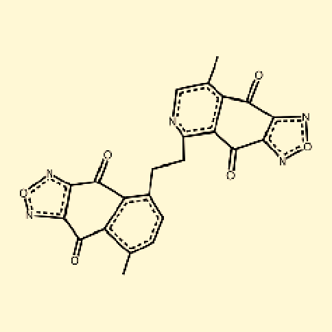 Cc1ccc(CCc2ncc(C)c3c2C(=O)c2nonc2C3=O)c2c1C(=O)c1nonc1C2=O